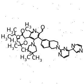 Cc1nc(C=O)c(-c2ccc3c(c2)CCN(c2nccc(-c4cnccn4)n2)C3)c(N2CCC(C)(C)CC2)c1[C@H](OC(C)(C)C)C(=O)OC(C)C